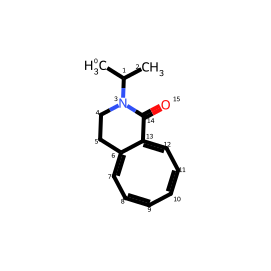 CC(C)N1CCC2=C/C=C\C=C/C=C\2C1=O